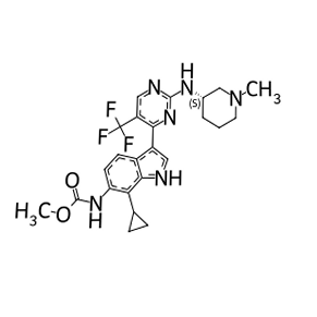 COC(=O)Nc1ccc2c(-c3nc(N[C@H]4CCCN(C)C4)ncc3C(F)(F)F)c[nH]c2c1C1CC1